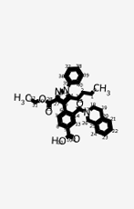 CCCCc1c(-c2ccc(C(=O)O)cc2C(=O)N2CCc3ccccc3C2)c(C(=O)OCC)nn1-c1ccccc1